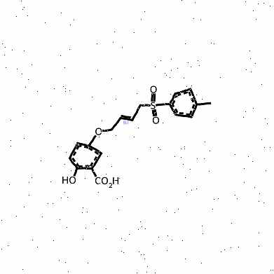 Cc1ccc(S(=O)(=O)C/C=C/COc2ccc(O)c(C(=O)O)c2)cc1